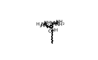 CCCCCCCCCC(=O)Nc1cc(/C(C)=N/NC(=N)N)cc(/C(C)=N/NC(=N)N)c1